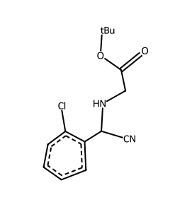 CC(C)(C)OC(=O)CNC(C#N)c1ccccc1Cl